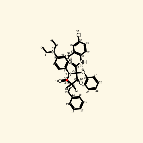 CCN(CC)c1ccc(N(C(=O)OCc2ccccc2)C(Oc2ccccc2)(C(=O)Nc2ccc(Cl)cc2Cl)C(=O)C(C)(C)C)cc1